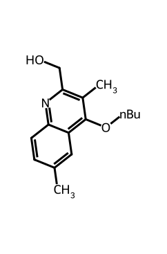 CCCCOc1c(C)c(CO)nc2ccc(C)cc12